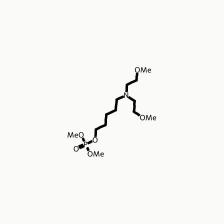 COCCN(CCCCCOP(=O)(OC)OC)CCOC